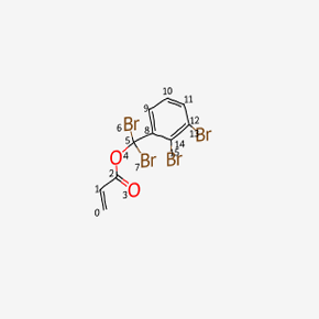 C=CC(=O)OC(Br)(Br)c1cccc(Br)c1Br